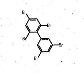 Brc1[c]c(-c2c(Br)cc(Br)cc2Br)cc(Br)c1